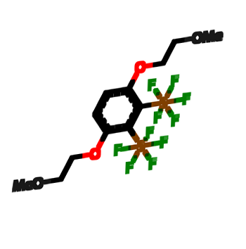 COCCOc1ccc(OCCOC)c(S(F)(F)(F)(F)F)c1S(F)(F)(F)(F)F